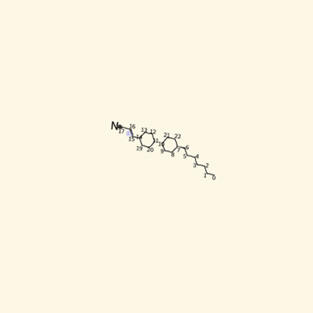 CCCCCCC[C@H]1CC[C@H](C2CCC(/C=C/C#N)CC2)CC1